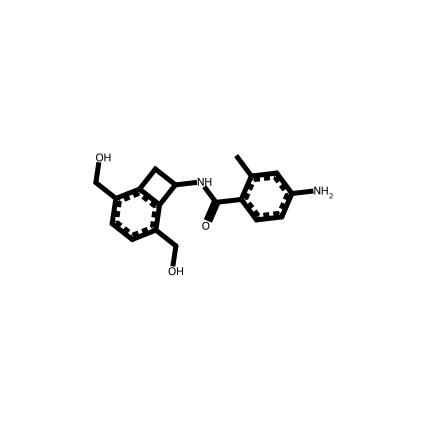 Cc1cc(N)ccc1C(=O)NC1Cc2c(CO)ccc(CO)c21